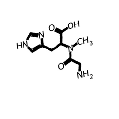 CN(C(=O)CN)C(Cc1c[nH]cn1)C(=O)O